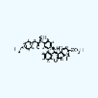 CN1CCN(CC(=O)N(C)c2ccc(NC(=C3C(=O)Nc4nc(C(=O)O)ccc43)c3ccccc3)cc2)CC1